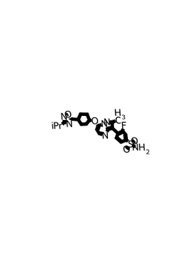 Cc1nn2c(OC3CCC(c4nc(C(C)C)no4)CC3)ccnc2c1-c1ccc(S(N)(=O)=O)cc1F